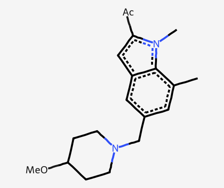 COC1CCN(Cc2cc(C)c3c(c2)cc(C(C)=O)n3C)CC1